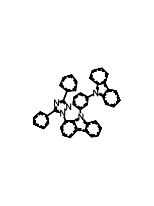 c1ccc(-c2nc(-c3ccccc3)n(-c3cccc4c5ccccc5n(-c5cccc(-n6c7ccccc7c7ccccc76)c5)c34)n2)cc1